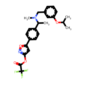 CC(C)Oc1cccc(CN(C)C(C)c2ccc(-c3cc(OC(=O)C(F)(F)F)no3)cc2)c1